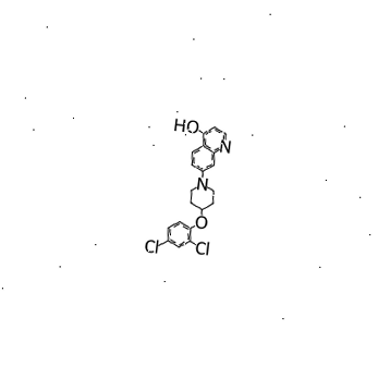 Oc1ccnc2cc(N3CCC(Oc4ccc(Cl)cc4Cl)CC3)ccc12